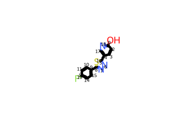 Oc1ccc(-c2nnc(-c3ccc(F)cc3)s2)cn1